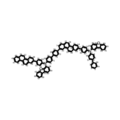 c1ccc(-c2ccc(N(c3ccc(-c4ccc5c(ccc6c7cc(-c8ccc(-c9ccc(N(c%10ccc(-c%11ccc%12c(ccc%13c%14ccccc%14ccc%12%13)c%11)cc%10)c%10cccc%11c%10oc%10ccccc%10%11)cc9)cc8)ccc7ccc56)c4)cc3)c3ccc4oc5ccccc5c4c3)cc2)cc1